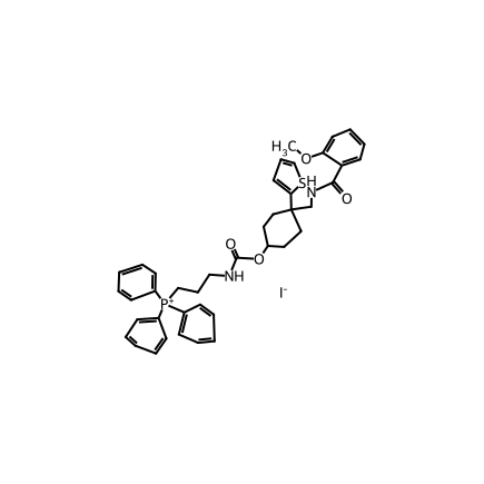 COc1ccccc1C(=O)NCC1(c2cccs2)CCC(OC(=O)NCCC[P+](c2ccccc2)(c2ccccc2)c2ccccc2)CC1.[I-]